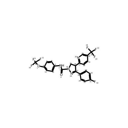 O=C(Nc1ccc(OC(F)(F)F)cc1)N1CC(c2ccc(C(F)(F)F)cn2)C(c2ccc(F)cc2)=N1